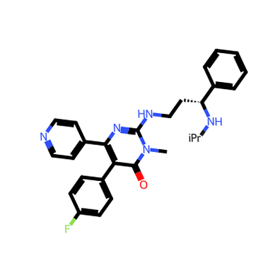 CC(C)N[C@H](CCNc1nc(-c2ccncc2)c(-c2ccc(F)cc2)c(=O)n1C)c1ccccc1